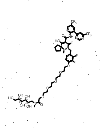 CN(C[C@H](O)[C@@H](O)[C@H](O)[C@H](O)CO)C(=O)COCCOCCOCCOCCOc1ccc(CN2C(=O)C(C(=O)Nc3ccc(C(F)(F)F)cc3-c3cc(C(F)(F)F)ncn3)=C(O)C3(CCCC3)N2C)c(F)c1F